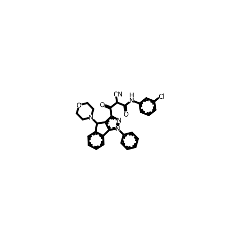 N#CC(C(=O)Nc1cccc(Cl)c1)C(=O)c1nn(-c2ccccc2)c2c1C(N1CCOCC1)c1ccccc1-2